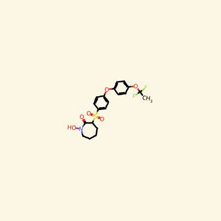 CC(F)(F)Oc1ccc(Oc2ccc(S(=O)(=O)C3CCCCN(O)C3=O)cc2)cc1